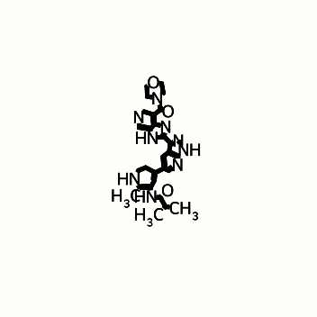 CC1=C(NC(=O)C(C)C)C=C(c2cnc3[nH]nc(-c4nc5c(C(=O)N6CCOCC6)cncc5[nH]4)c3c2)CCN1